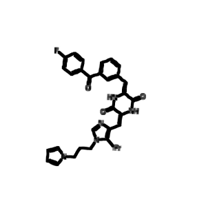 CC(C)c1c(C=c2[nH]c(=O)c(=Cc3cccc(C(=O)c4ccc(F)cc4)c3)[nH]c2=O)ncn1CCCn1cccc1